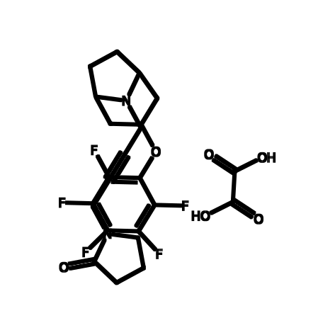 O=C(O)C(=O)O.O=C1CCCN1CC#CCN1C2CCC1CC(Oc1c(F)c(F)c(F)c(F)c1F)C2